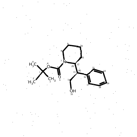 CC(C)(C)OC(=O)N1CCCC[C@H]1[C@H](CO)c1ccccc1